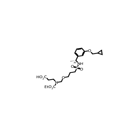 CCOC(=O)N(CCC(=O)O)COCCCS(=O)(=O)N[C@H](C)c1cccc(OCC2CC2)c1